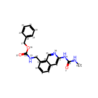 CCNC(=O)Nc1cc2cccc(CNC(=O)OCc3ccccc3)c2cn1